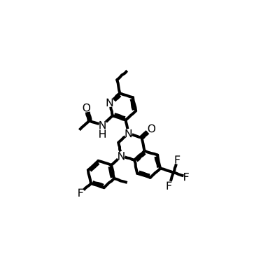 CCc1ccc(N2CN(c3ccc(F)cc3C)c3ccc(C(F)(F)F)cc3C2=O)c(NC(C)=O)n1